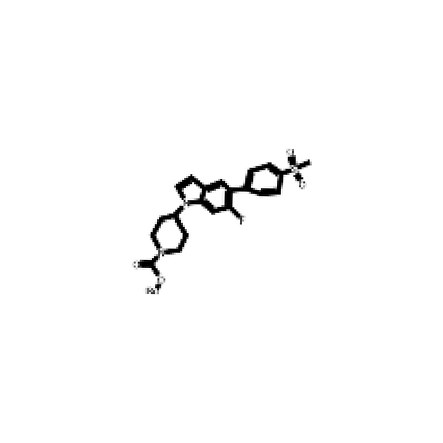 CC(C)(C)OC(=O)N1CCC(n2ccc3cc(-c4ccc(S(C)(=O)=O)cc4)c(F)cc32)CC1